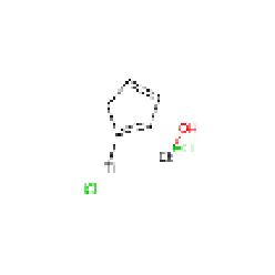 CCO.Cl.Cl.[Ti][C]1=CC=CC1